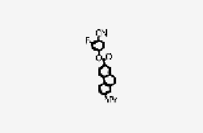 CCCc1ccc2c(c1)CCc1cc(C(=O)Oc3ccc(C#N)c(F)c3)ccc1-2